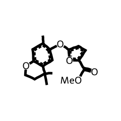 COC(=O)c1ccc(Oc2cc3c(cc2C)OCCC3(C)C)o1